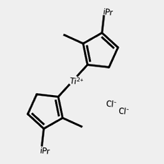 CC1=[C]([Ti+2][C]2=C(C)C(C(C)C)=CC2)CC=C1C(C)C.[Cl-].[Cl-]